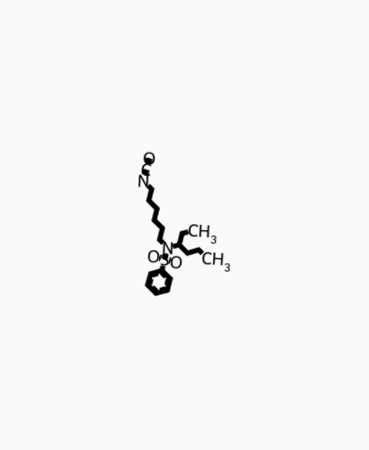 CCCC(CC)N(CCCCCCN=C=O)S(=O)(=O)c1ccccc1